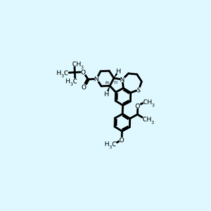 COc1ccc(-c2cc3c4c(c2)[C@@H]2CN(C(=O)OC(C)(C)C)CC[C@@H]2N4CCCS3)c(C(C)OC)c1